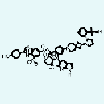 CC(C)(C#N)c1ccccc1[C@@H]1CCCN1C1CC2(CCN(c3ccc(C(=O)NS(=O)(=O)c4cc5c(c([N+](=O)[O-])c4)N[C@H](C4CCC(O)CC4)CO5)c(N4c5cc6cc[nH]c6nc5O[C@H]5CCOC[C@H]54)c3)CC2)C1